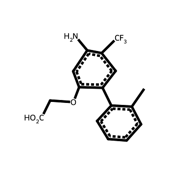 Cc1ccccc1-c1cc(C(F)(F)F)c(N)cc1OCC(=O)O